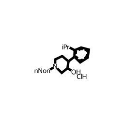 CCCCCCCCCN1CCC(c2ccccc2C(C)C)C(O)C1.Cl